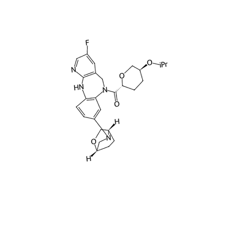 CC(C)O[C@H]1CC[C@H](C(=O)N2Cc3cc(F)cnc3Nc3ccc(N4C[C@@H]5CC[C@H]4CO5)cc32)OC1